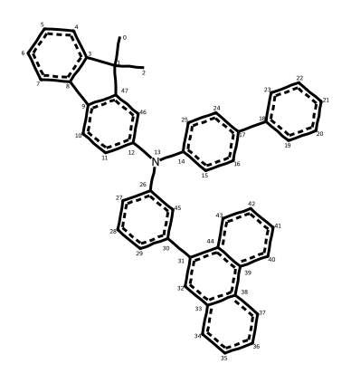 CC1(C)c2ccccc2-c2ccc(N(c3ccc(-c4ccccc4)cc3)c3cccc(-c4cc5ccccc5c5ccccc45)c3)cc21